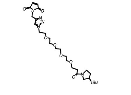 CC(C)(C)C1CCN(C(=O)CCOCCOCCOCCOCCn2cc(CN3C(=O)C=CC3=O)nn2)C1